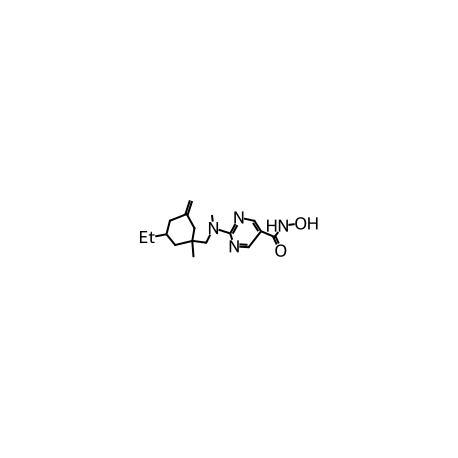 C=C1CC(CC)CC(C)(CN(C)c2ncc(C(=O)NO)cn2)C1